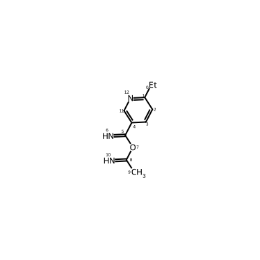 CCc1ccc(C(=N)OC(C)=N)cn1